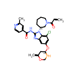 C=CC(=O)N1CCCC[C@@H](n2c(NC(=O)c3ccnc(C)c3)nc3cc(O[C@@H]4CC(=C)OCP4)cc(Cl)c32)C1